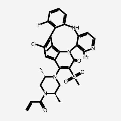 C=CC(=O)N1C[C@H](C)N(c2c(S(C)(=O)=O)c(=O)n3c4c(C(C)C)nccc4[nH]c4cccc(F)c4c4c(Cl)cc2c3c4F)C[C@H]1C